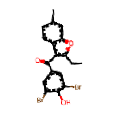 CCc1oc2cc(C)ccc2c1C(=O)c1cc(Br)c(O)c(Br)c1